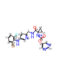 O=C(NC1(C(=O)NCc2ccc(Nc3c(F)cccc3Br)cn2)CC1)Oc1cncnc1